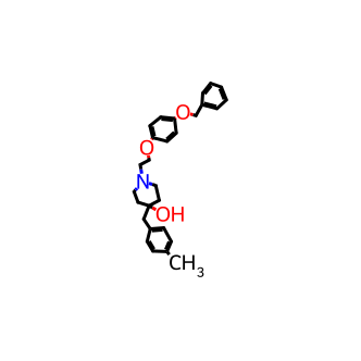 Cc1ccc(CC2(O)CCN(CCOc3ccc(OCc4ccccc4)cc3)CC2)cc1